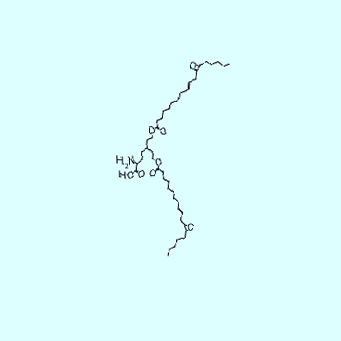 CCCCCC1OC1CC=CCCCCCCCC(=O)OCCC(CCOC(=O)CCCCCCCC=CCC1OC1CCCCC)CCC(N)C(=O)O